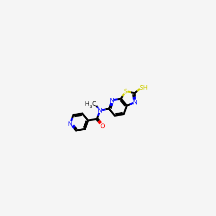 CN(C(=O)c1ccncc1)c1ccc2nc(S)sc2n1